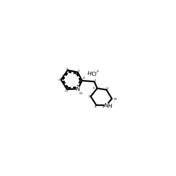 Cl.c1ccc(CC2CCNCC2)nc1